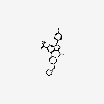 CC(C)c1nn(-c2ccc(F)cc2)c2nc(C(=O)O)cc(N3CCC(CN4CCCC4)CC3)c12